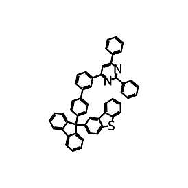 c1ccc(-c2cc(-c3cccc(-c4ccc(C5(c6ccc7sc8ccccc8c7c6)c6ccccc6-c6ccccc65)cc4)c3)nc(-c3ccccc3)n2)cc1